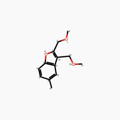 COCc1oc2ccc(C)cc2c1COC